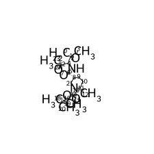 C=C(OC)C(NC(=O)[C@@H]1CC[C@@H](C)N(C(=O)OC(C)(C)C)C1)C(C)=O